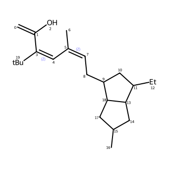 C=C(O)/C(=C\C(C)=C/CC1CC(CC)C2CC(C)CC12)C(C)(C)C